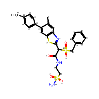 Cc1cc2nc(C(C(=O)NCCS(N)(=O)=O)S(=O)(=O)Cc3ccccc3)sc2cc1-c1ccc(C(=O)O)cc1